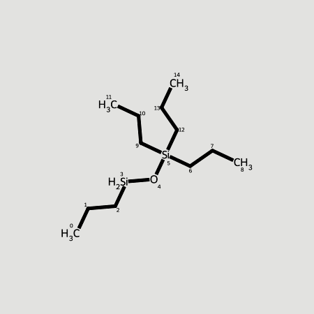 CCC[SiH2]O[Si](CCC)(CCC)CCC